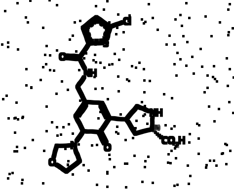 O=C(NCC1=CC(N2CCOC2)C(=O)C(C2CN[C@H](C(=O)O)C2)=C1)c1ccc(Cl)s1